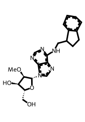 CO[C@@H]1[C@H](O)[C@@H](CO)O[C@H]1n1cnc2c(NCC3CCc4ccccc43)ncnc21